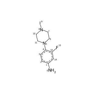 Nc1ccc(N2CCN(I)CC2)c(F)c1